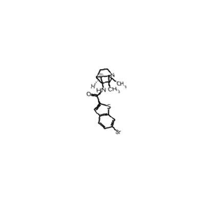 CC1(C)[C@@H](NC(=O)c2cc3ccc(Br)cc3s2)C2CCN1CC2